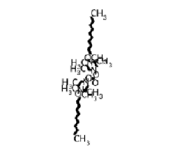 CCCCCCCCCCCON1C(C)(C)CN(OC(=O)ON2CC(C)(C)N(OCCCCCCCCCCC)C(C)(C)C2)CC1(C)C